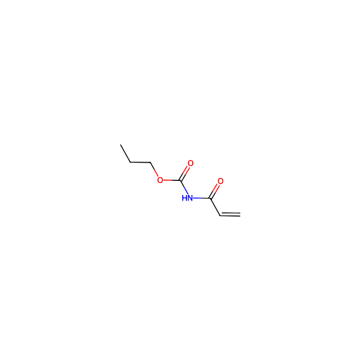 C=CC(=O)NC(=O)OCCC